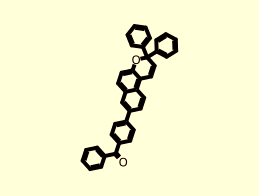 O=C(c1ccccc1)c1ccc(-c2ccc3c4c(ccc3c2)OC(c2ccccc2)(c2ccccc2)C=C4)cc1